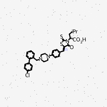 CC(C)C[C@@H](C(=O)O)N1C(=O)/C(=C/c2ccc(N3CCN(Cc4ccccc4-c4ccc(Cl)cc4)CC3)cc2)SC1=S